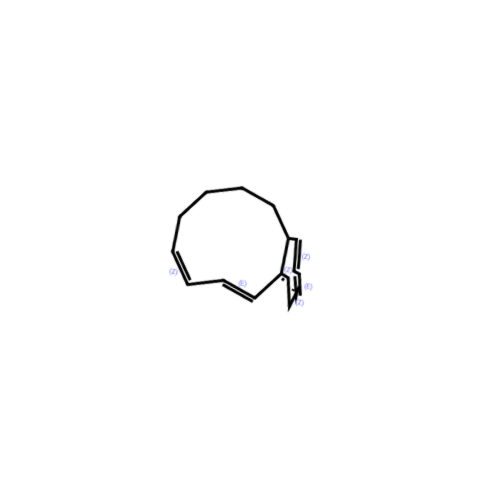 C1=C\C=C\C=C/C2CCCC/C=C\C=C\C2=C/1